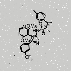 COc1ncnc(OC)c1-n1c(NS(=O)(=O)[C@@H](C)[C@H](C)c2ncc(C)cn2)nnc1-c1cccc(C(F)(F)F)c1